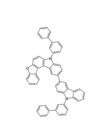 c1ccc(-c2cccc(-n3c4ccccc4c4cc(-c5ccc6c(c5)c5c7c(ccc5n6-c5cccc(-c6ccccc6)c5)oc5ccccc57)ccc43)c2)cc1